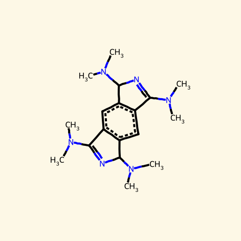 CN(C)C1=NC(N(C)C)c2cc3c(cc21)C(N(C)C)N=C3N(C)C